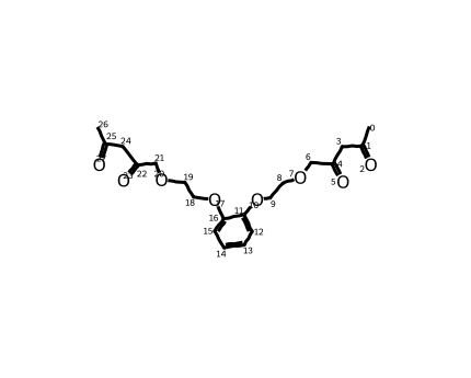 CC(=O)CC(=O)COCCOc1ccccc1OCCOCC(=O)CC(C)=O